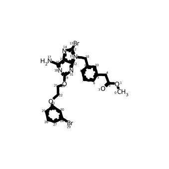 COC(=O)Cc1cccc(Cn2c(Br)nc3c(N)nc(OCCOc4cccc(Br)c4)nc32)c1